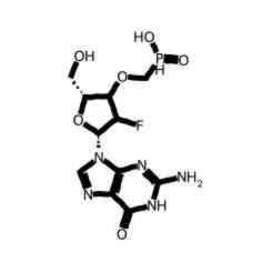 Nc1nc2c(ncn2[C@@H]2O[C@H](CO)C(OC[PH](=O)O)C2F)c(=O)[nH]1